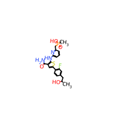 CC(O)Cc1ccc(-c2cc(C(N)=O)c(Nc3cccc(CP(C)(=O)O)n3)s2)c(F)c1